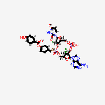 Nc1ncnc2c1ncn2[C@@H]1O[C@@H]2CO[P@](=O)(SCc3ccc(OC(=O)c4ccc(O)cc4)cc3)O[C@H]3[C@@H](F)[C@H](n4ccc(=O)[nH]c4=O)O[C@@H]3COP(=O)(O)O[C@@H]1[C@@H]2F